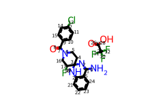 NC1=NC2(CCN(C(=O)c3ccc(Cl)cc3)CC2F)Nc2ccccc21.O=C(O)C(F)(F)F